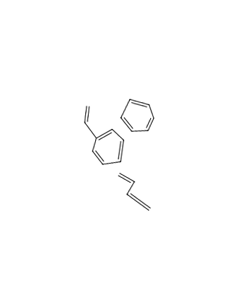 C=CC=C.C=Cc1ccccc1.c1ccccc1